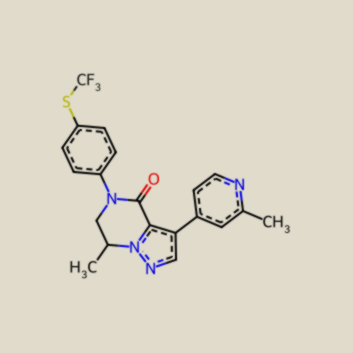 Cc1cc(-c2cnn3c2C(=O)N(c2ccc(SC(F)(F)F)cc2)CC3C)ccn1